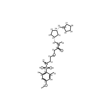 COc1cc(C)c(S(=O)(=O)N(C)CCOCC(=O)N(C)C[C@@H]2CC[C@H](CN3CCCC3)C2)c(C)c1